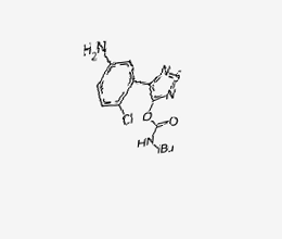 CCC(C)NC(=O)Oc1nsnc1-c1cc(N)ccc1Cl